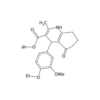 CCOc1ccc(C2C(C(=O)OC(C)C)=C(C)NC3=C2C(=O)CCC3)cc1OC